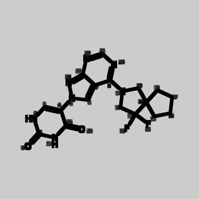 O=c1[nH]cc(-n2cc3c(N4CC(F)(F)C5(CCCC5)C4)ncnc3n2)c(=O)[nH]1